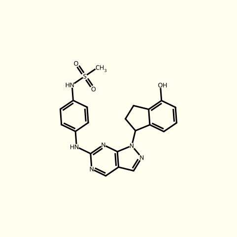 CS(=O)(=O)Nc1ccc(Nc2ncc3cnn(C4CCc5c(O)cccc54)c3n2)cc1